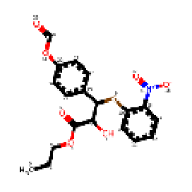 CCCOC(=O)C(O)C(Sc1ccccc1[N+](=O)[O-])c1ccc(OC=O)cc1